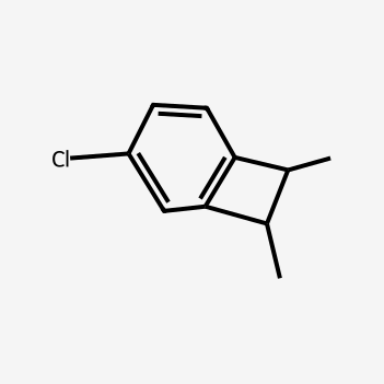 CC1c2ccc(Cl)cc2C1C